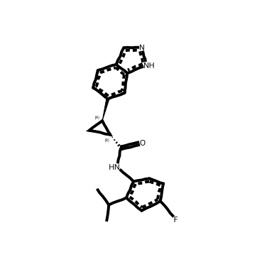 CC(C)c1cc(F)ccc1NC(=O)[C@@H]1C[C@H]1c1ccc2cn[nH]c2c1